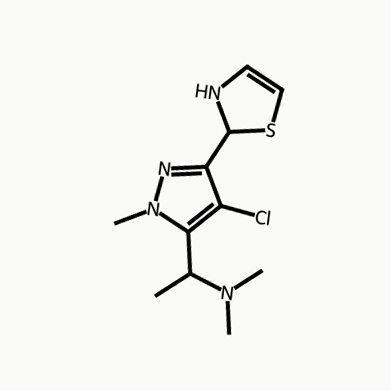 CC(c1c(Cl)c(C2NC=CS2)nn1C)N(C)C